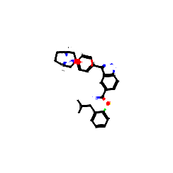 CC(C)[C@H](NC(=O)c1ccc2[nH]nc(-c3ccc(N4[C@@H]5CC[C@H]4CC(O)C5)cc3)c2c1)c1ccccc1Cl